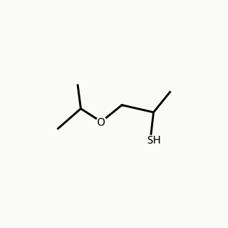 CC(S)COC(C)C